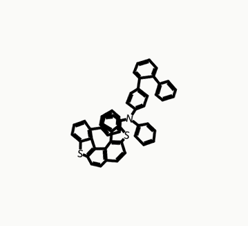 c1ccc(-c2ccccc2-c2ccc(N(c3ccccc3)c3ccc(-c4cccc5sc6ccc7ccc8sc9ccccc9c8c7c6c45)cc3)cc2)cc1